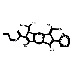 C=C/C=N\C(=C)C1=C(C#N)c2cc3c(cc2C1=C(C#N)C#N)C(=C(C#N)C#N)C(c1ccccn1)=C3C#N